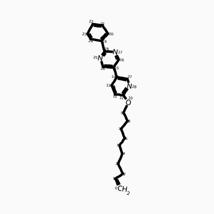 C=CCCCCCCCCOc1ccc(-c2cnc(-c3ccccc3)nc2)cn1